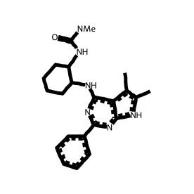 CNC(=O)NC1CCCCC1Nc1nc(-c2ccccc2)nc2[nH]c(C)c(C)c12